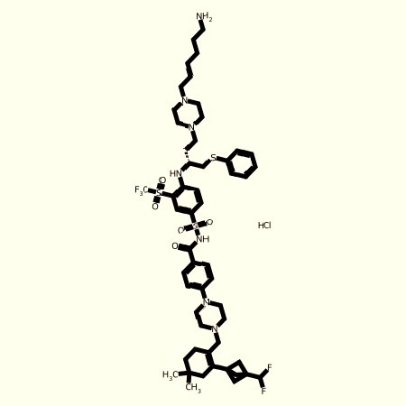 CC1(C)CCC(CN2CCN(c3ccc(C(=O)NS(=O)(=O)c4ccc(N[C@H](CCN5CCN(CCCCCCN)CC5)CSc5ccccc5)c(S(=O)(=O)C(F)(F)F)c4)cc3)CC2)=C(C23CC(C(F)F)(C2)C3)C1.Cl